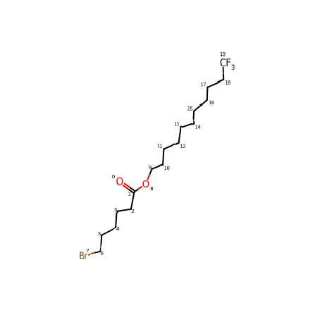 O=C(CCCCCBr)OCCCCCCCCCCC(F)(F)F